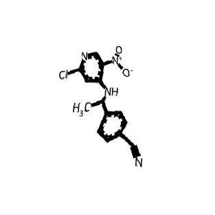 CC(Nc1cc(Cl)ncc1[N+](=O)[O-])c1ccc(C#N)cc1